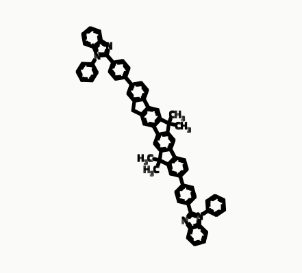 CC1(C)c2cc(-c3ccc(-c4nc5ccccc5n4-c4ccccc4)cc3)ccc2-c2cc3c(cc21)-c1cc2c(cc1C3(C)C)-c1ccc(-c3ccc(-c4nc5ccccc5n4-c4ccccc4)cc3)cc1C2